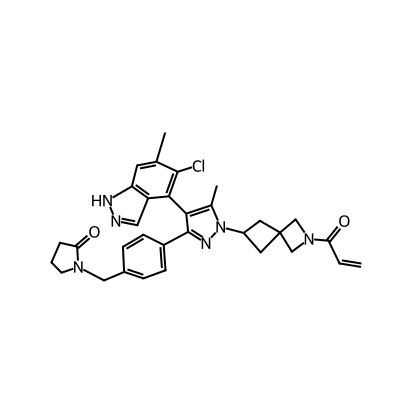 C=CC(=O)N1CC2(CC(n3nc(-c4ccc(CN5CCCC5=O)cc4)c(-c4c(Cl)c(C)cc5[nH]ncc45)c3C)C2)C1